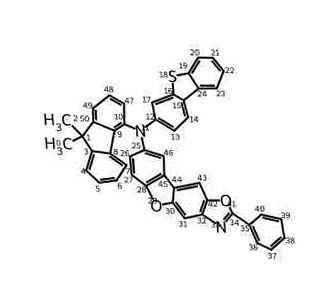 CC1(C)c2ccccc2-c2c(N(c3ccc4c(c3)sc3ccccc34)c3ccc4oc5cc6nc(-c7ccccc7)oc6cc5c4c3)cccc21